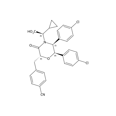 N#Cc1ccc(C[C@H]2O[C@H](c3ccc(Cl)cc3)[C@H](c3ccc(Cl)cc3)N([C@@H](C(=O)O)C3CC3)C2=O)cc1